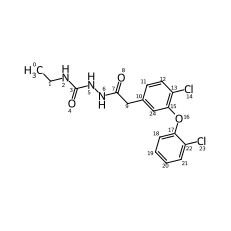 CCNC(=O)NNC(=O)Cc1ccc(Cl)c(Oc2ccccc2Cl)c1